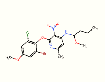 CCCC(Nc1cc(C)nc(Oc2c(Cl)cc(OC)cc2Br)c1[N+](=O)[O-])OC